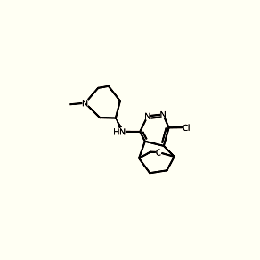 CN1CCC[C@@H](Nc2nnc(Cl)c3c2C2CCC3CC2)C1